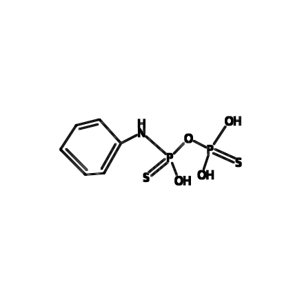 OP(O)(=S)OP(O)(=S)Nc1ccccc1